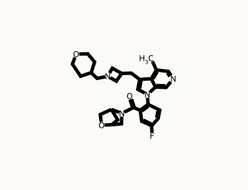 Cc1cncc2c1c(CC1CN(CC3CCOCC3)C1)cn2-c1ccc(F)cc1C(=O)N1CC2CC1CO2